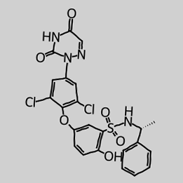 C[C@@H](NS(=O)(=O)c1cc(Oc2c(Cl)cc(-n3ncc(=O)[nH]c3=O)cc2Cl)ccc1O)c1ccccc1